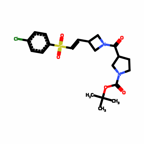 CC(C)(C)OC(=O)N1CCC(C(=O)N2CC(/C=C/S(=O)(=O)c3ccc(Cl)cc3)C2)C1